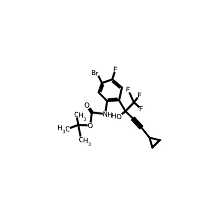 CC(C)(C)OC(=O)Nc1cc(Br)c(F)cc1C(O)(C#CC1CC1)C(F)(F)F